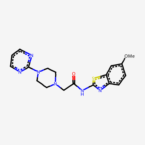 COc1ccc2nc(NC(=O)CN3CCN(c4ncccn4)CC3)sc2c1